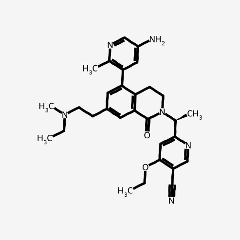 CCOc1cc([C@H](C)N2CCc3c(cc(CCN(C)CC)cc3-c3cc(N)cnc3C)C2=O)ncc1C#N